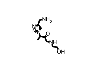 CC(C(=O)CNCCO)n1cc(CN)nn1